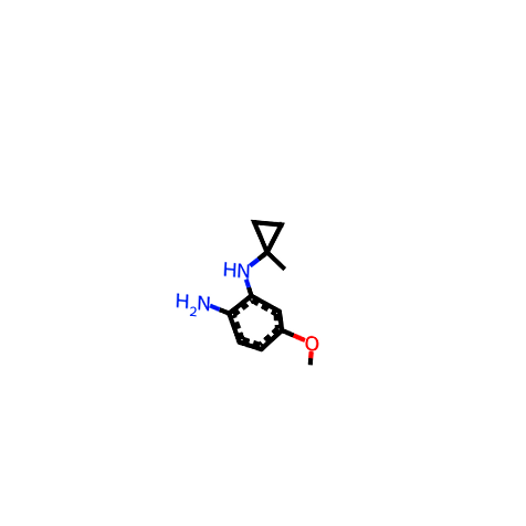 COc1ccc(N)c(NC2(C)CC2)c1